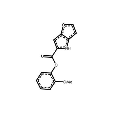 COc1ccccc1OC(=O)c1cc2occc2[nH]1